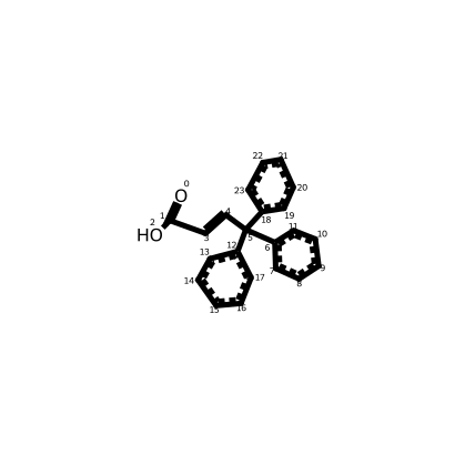 O=C(O)C=CC(c1ccccc1)(c1ccccc1)c1ccccc1